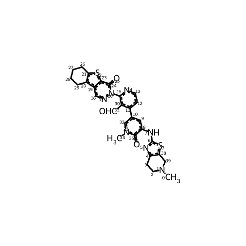 CN1CCc2nc(Nc3cc(-c4ccnc(-n5ncc6c7c(sc6c5=O)CCCC7)c4C=O)cn(C)c3=O)sc2C1